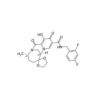 C[C@H]1CCC2(OCCO2)[C@H]2CN1C(=O)c1c(O)c(=O)c(C(=O)NCc3ccc(F)cc3F)cn12